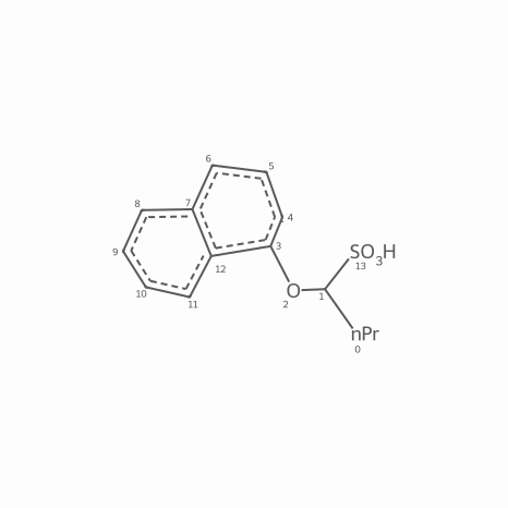 CCCC(Oc1[c]ccc2ccccc12)S(=O)(=O)O